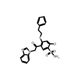 NS(=O)(=O)c1cc(C(=O)Cn2cnc3ccccc32)c(SCCc2ccccc2)cc1Cl